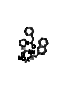 O=C(O)[C@H](Cc1ccc2ccccc2c1)NC(=O)[C@@H]1CCCN1C(=O)Cc1ccccc1